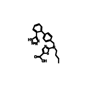 CCCCN(Cc1ccc(-c2ccccc2-c2nnn[nH]2)cc1)c1ncc(C(=O)O)s1